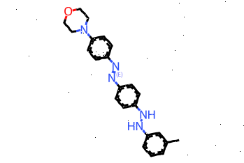 Cc1cccc(NNc2ccc(/N=N/c3ccc(N4CCOCC4)cc3)cc2)c1